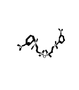 CN(C)c1cccc([Si](C)(C)CC[Si](C)(C)O[Si](C)(C)CC[Si](C)(C)c2cccc(N(C)C)c2)c1